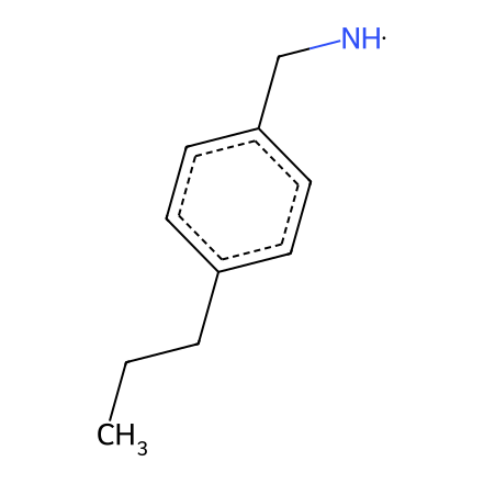 CCCc1ccc(C[NH])cc1